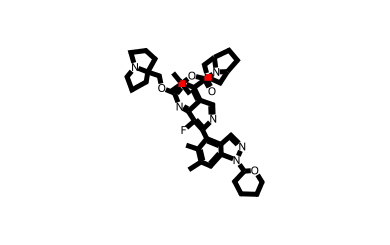 Cc1cc2c(cnn2C2CCCCO2)c(-c2ncc3c(N4CC5CCC(C4)N5C(=O)OC(C)(C)C)nc(OCC45CCCN4CCC5)nc3c2F)c1C